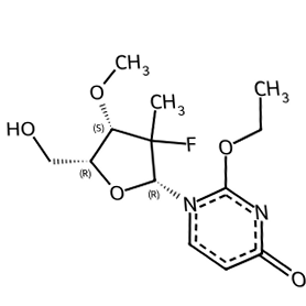 CCOc1nc(=O)ccn1[C@@H]1O[C@H](CO)[C@H](OC)C1(C)F